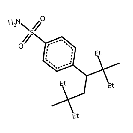 CCC(C)(CC)CC(c1ccc(S(N)(=O)=O)cc1)C(C)(CC)CC